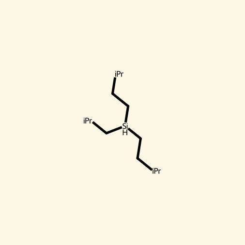 CC(C)CC[SiH](CCC(C)C)CC(C)C